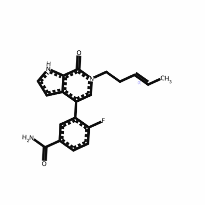 C/C=C/CCn1cc(-c2cc(C(N)=O)ccc2F)c2cc[nH]c2c1=O